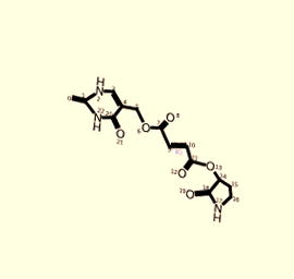 C=C1NC=C(COC(=O)/C=C/C(=O)OC2CCNC2=O)C(=O)N1